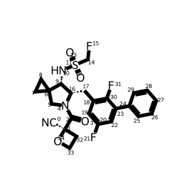 N#C[C@]1(C(=O)N2CC3(CC3)[C@H](NS(=O)(=O)CF)[C@@H]2Cc2cc(F)cc(-c3ccccc3)c2F)CCO1